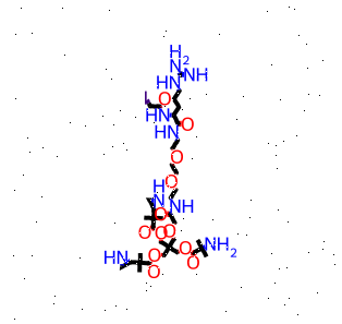 CC(C)(N)C(=O)OCC(COCC(=O)NCCOCCOCCNC(=O)C(CCCNC(=N)N)NC(=O)CI)(COC(=O)C(C)(C)C1CN1)COC(=O)C(C)(C)C1CN1